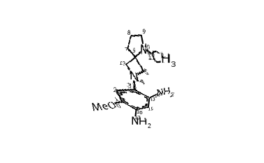 COc1cc(N2CC3(CCCN3C)C2)c(N)cc1N